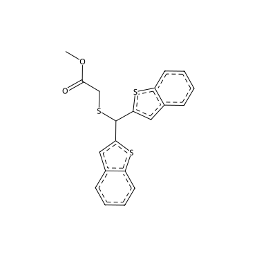 COC(=O)CSC(c1cc2ccccc2s1)c1cc2ccccc2s1